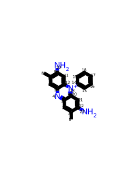 Cc1cc2nc3cc(C)c(N)cc3[n+](-c3ccccc3)c2cc1N